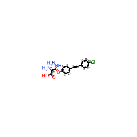 NN/C(Oc1ccc(C#Cc2ccc(Cl)cc2)cc1)=C(\N)C(=O)O